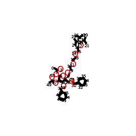 CC(=O)OC1O[C@](COCCOCCOCCO[Si](C(C)C)(C(C)C)C(C)C)(COCc2ccccc2)[C@@H](OCc2ccccc2)[C@H]1OC(C)=O